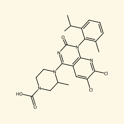 Cc1cccc(C(C)C)c1-n1c(=O)nc(N2CCN(C(=O)O)CC2C)c2cc(Cl)c(Cl)nc21